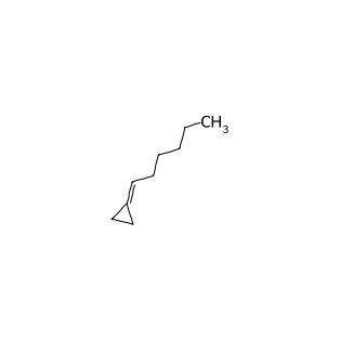 CCCCCC=C1CC1